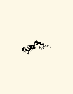 CN(C)CCCC1CCN(c2cc(F)c(S(=O)(=O)Nc3nccs3)cc2Cl)C1